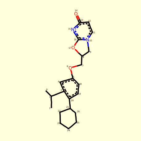 CC(C)c1cc(OCC2Cn3ccc(=O)nc3O2)ccc1C1CCCCC1